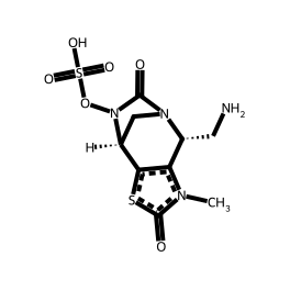 Cn1c2c(sc1=O)[C@@H]1CN(C(=O)N1OS(=O)(=O)O)[C@@H]2CN